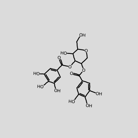 O=C(OC1COC(CO)C(O)C1OC(=O)c1cc(O)c(O)c(O)c1)c1cc(O)c(O)c(O)c1